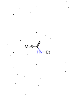 C=C(NCC)SC